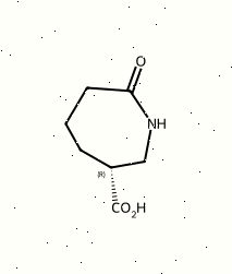 O=C1CCC[C@@H](C(=O)O)CN1